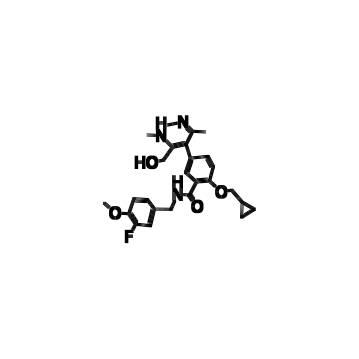 C/N=C(C)\C(=C(\CO)NC)c1ccc(OCC2CC2)c(C(=O)NCc2ccc(OC)c(F)c2)c1